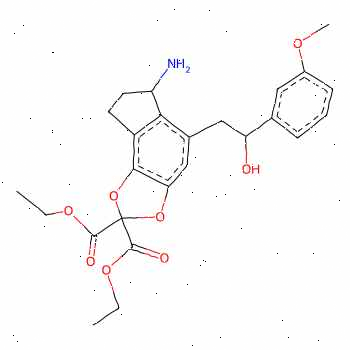 CCOC(=O)C1(C(=O)OCC)Oc2cc(CC(O)c3cccc(OC)c3)c3c(c2O1)CCC3N